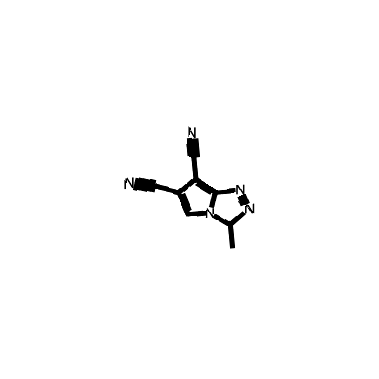 CC1N=Nc2c(C#N)c(C#N)cn21